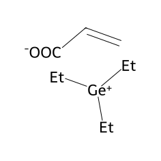 C=CC(=O)[O-].C[CH2][Ge+]([CH2]C)[CH2]C